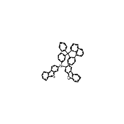 c1ccc(C2(c3cccc(N(c4ccc5c(c4)oc4ccccc45)c4ccc5c(c4)sc4ccccc45)c3)c3ccccc3-c3cccc4cccc2c34)cc1